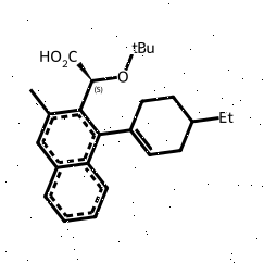 CCC1CC=C(c2c([C@H](OC(C)(C)C)C(=O)O)c(C)cc3ccccc23)CC1